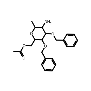 CC(=O)OCC1OC(C)C(N)C(OCc2ccccc2)C1OCc1ccccc1